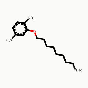 CCCCCCCCCCCCCCCCCCOc1cc([N+](=O)[O-])ccc1[N+](=O)[O-]